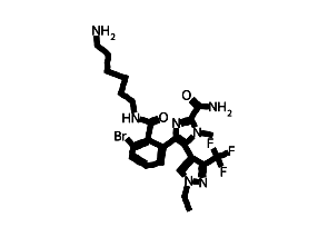 CCn1cc(-c2c(-c3cccc(Br)c3C(=O)NCCCCCCN)nc(C(N)=O)n2C)c(C(F)(F)F)n1